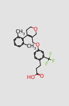 Cc1cccc(C)c1C1=C(COc2ccc(CCC(=O)O)c(C(F)(F)F)c2)COCC1